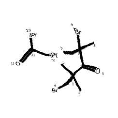 CC(C)(Br)C(=O)C(C)(C)Br.CC(C)C(=O)C(C)C